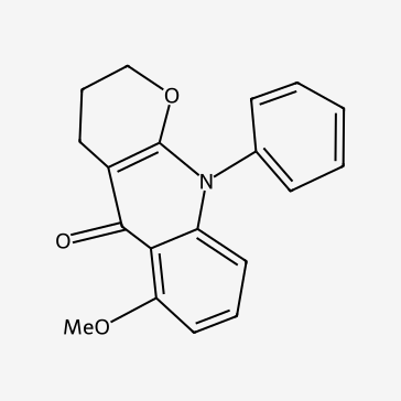 COc1cccc2c1c(=O)c1c(n2-c2ccccc2)OCCC1